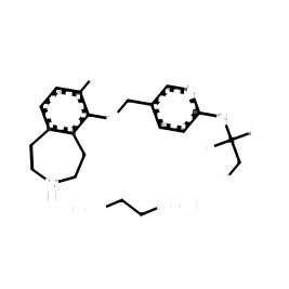 FCC(F)(F)Nc1ccc(CSc2c(Cl)ccc3c2CCNCC3)cn1.O=C(O)CCC(=O)O